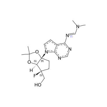 CN(C)/C=N/c1ncnc2c1ccn2[C@@]12CC[C@](F)(CO)[C@H]1OC(C)(C)O2